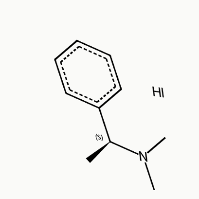 C[C@@H](c1ccccc1)N(C)C.I